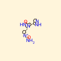 C[N+](C)(CC(N)=O)c1cccc(Cc2c[nH]c(=O)c3cc(-c4c[nH]c5ncccc45)cn23)c1